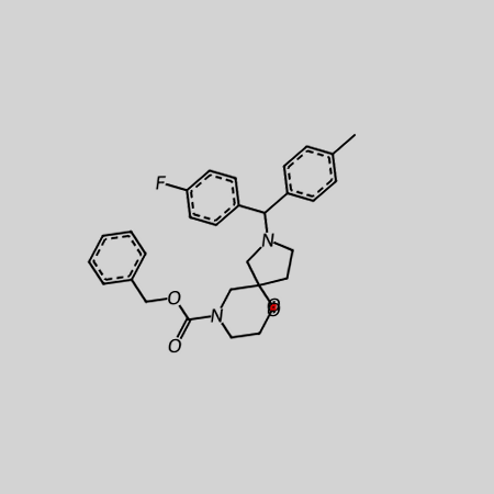 Cc1ccc(C(c2ccc(F)cc2)N2CCC3(CN(C(=O)OCc4ccccc4)CCC34OCCO4)C2)cc1